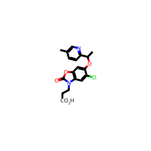 Cc1ccc(C(C)Oc2cc3oc(=O)n(CCC(=O)O)c3cc2Cl)nc1